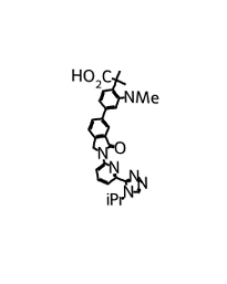 CNc1cc(-c2ccc3c(c2)C(=O)N(c2cccc(-c4nncn4C(C)C)n2)C3)ccc1C(C)(C)C(=O)O